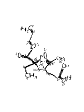 C=CCOC(=O)C(C)(CC)SC(CC(=O)O)C(=O)O